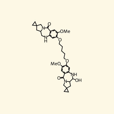 COc1cc2c(cc1OCCCCCOc1cc3c(cc1OC)C(=O)N1CC4(CC4)CC1C(O)N3)NCC1CC3(CC3)CN1C2=O